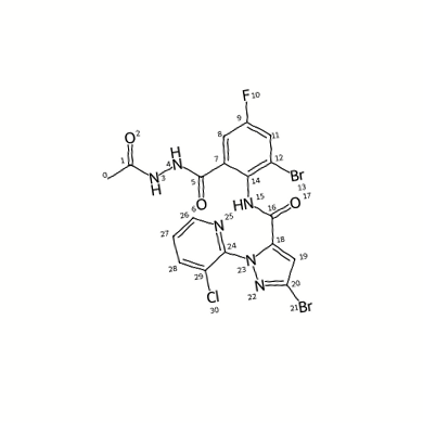 CC(=O)NNC(=O)c1cc(F)cc(Br)c1NC(=O)c1cc(Br)nn1-c1ncccc1Cl